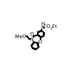 CCOC(=O)Nc1ccc2c(c1)C(=O)N(CCOC)c1ccccc1O2